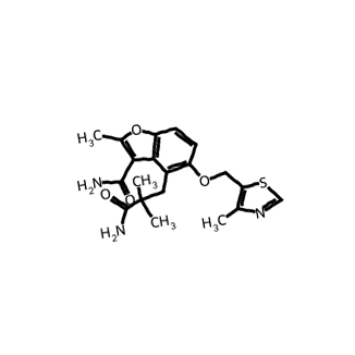 Cc1ncsc1COc1ccc2oc(C)c(C(N)=O)c2c1CC(C)(C)C(N)=O